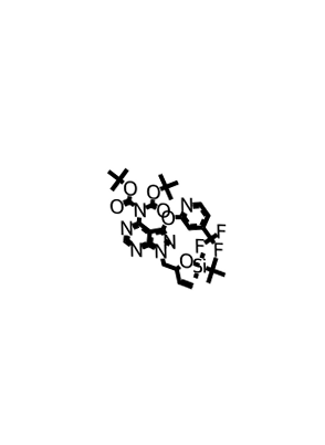 C=CC(Cn1nc(Oc2cc(C(F)(F)F)ccn2)c2c(N(C(=O)OC(C)(C)C)C(=O)OC(C)(C)C)ncnc21)O[Si](C)(C)C(C)(C)C